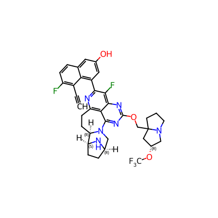 C#Cc1c(F)ccc2cc(O)cc(-c3nc4c5c(nc(OCC67CCCN6C[C@H](OC(F)(F)F)C7)nc5c3F)N3C[C@H]5CC[C@H](N5)[C@H]3CC4)c12